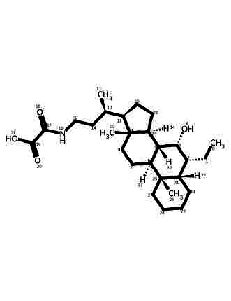 CC[C@H]1[C@@H](O)[C@@H]2[C@H](CC[C@]3(C)[C@@H]([C@H](C)CCNC(=O)C(=O)O)CC[C@@H]23)[C@@]2(C)CCCC[C@@H]12